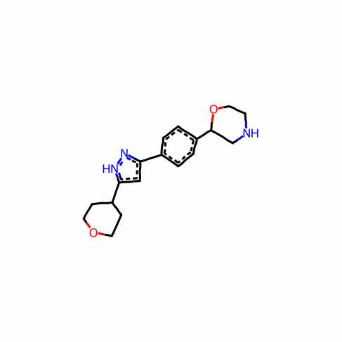 c1cc(C2CNCCO2)ccc1-c1cc(C2CCOCC2)[nH]n1